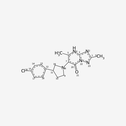 Cc1nc2[nH]c(C)c(N3CCC(c4ccc(Cl)cc4)C3)c(=O)n2n1